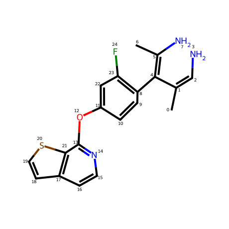 CC(=C/N)/C(=C(/C)N)c1ccc(Oc2nccc3ccsc23)cc1F